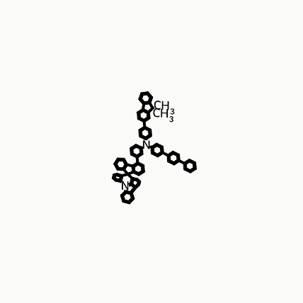 CC1(C)c2ccccc2-c2ccc(-c3ccc(N(c4ccc(-c5ccc(-c6ccccc6)cc5)cc4)c4cccc(-c5cccc6c5-c5ccccc5C65c6ccccc6-n6c7ccccc7c7cccc5c76)c4)cc3)cc21